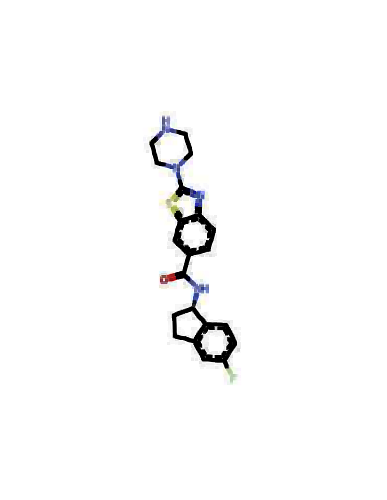 O=C(N[C@@H]1CCc2cc(F)ccc21)c1ccc2nc(N3CCNCC3)sc2c1